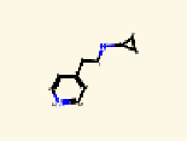 c1cc(CC[N]C2CC2)ccn1